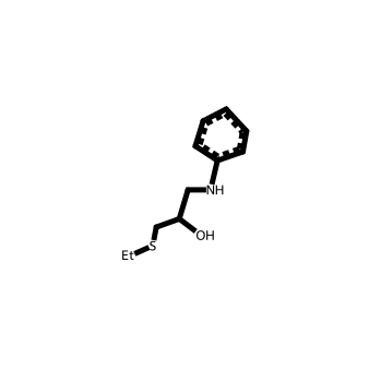 CCSCC(O)CNc1ccccc1